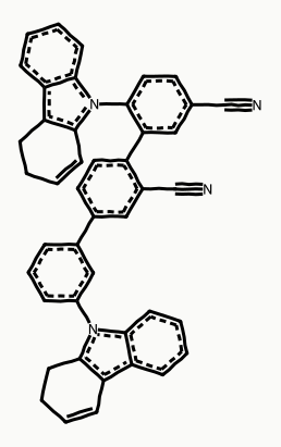 N#Cc1ccc(-n2c3c(c4ccccc42)CCC=C3)c(-c2ccc(-c3cccc(-n4c5c(c6ccccc64)C=CCC5)c3)cc2C#N)c1